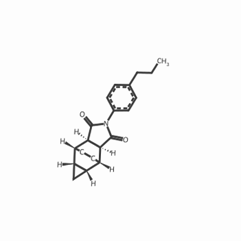 CCCc1ccc(N2C(=O)[C@@H]3[C@@H]4CC[C@@H]([C@@H]5C[C@@H]54)[C@@H]3C2=O)cc1